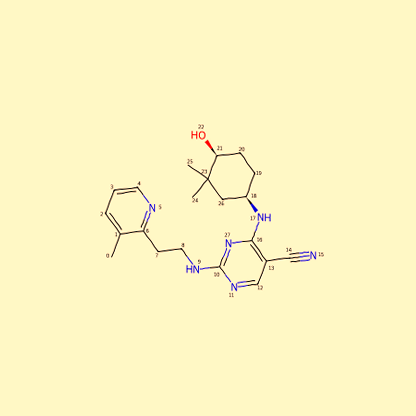 Cc1cccnc1CCNc1ncc(C#N)c(N[C@@H]2CC[C@H](O)C(C)(C)C2)n1